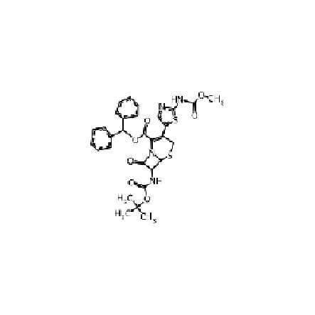 COC(=O)Nc1ncc(C2=C(C(=O)OC(c3ccccc3)c3ccccc3)N3C(=O)C(NC(=O)OC(C)(C)C)C3SC2)s1